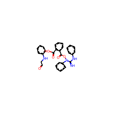 N=C(Nc1ccccc1)N(OC(=O)c1ccccc1C(=O)O)c1ccccc1.O=CCNc1ccccc1